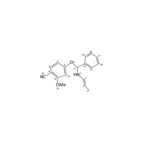 CC=CNC(Oc1ccc(C#N)c(OC)c1)c1ccccc1